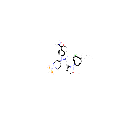 COc1ccc(N2C(O)CC[C@H]2c2nc3cc(-c4c(C)noc4C)ccc3n2C2CCN(S(C)(=O)=O)CC2)cc1Cl